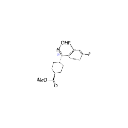 COC(=O)[C@H]1CC[C@H](/C(=N/O)c2ccc(F)cc2F)CC1